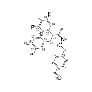 CC(=NOCc1ccc(C=O)cc1)C(Cc1ccc(C)c(C)c1)c1cc(F)cc(F)c1